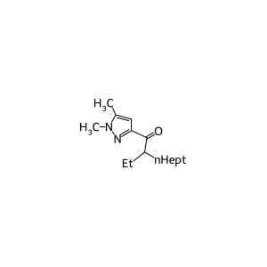 CCCCCCCC(CC)C(=O)c1cc(C)n(C)n1